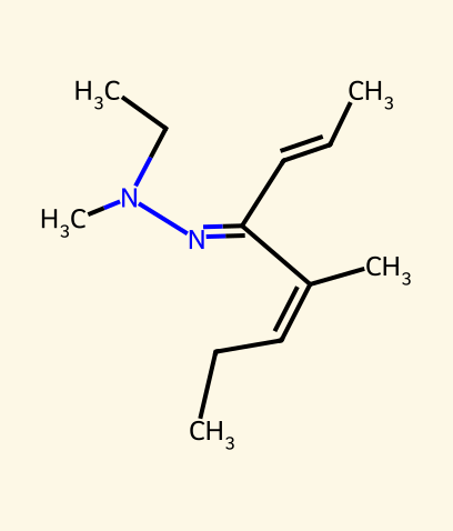 C/C=C/C(=N\N(C)CC)C(/C)=C\CC